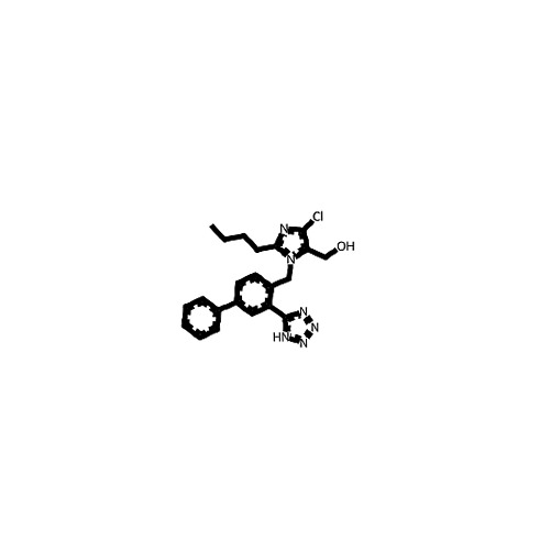 CCCCc1nc(Cl)c(CO)n1Cc1ccc(-c2ccccc2)cc1-c1nnn[nH]1